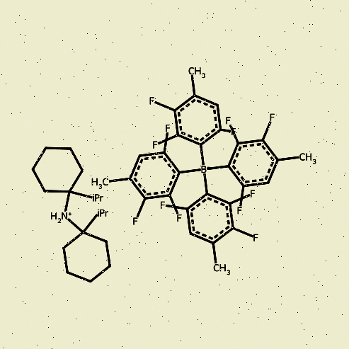 CC(C)C1([NH2+]C2(C(C)C)CCCCC2)CCCCC1.Cc1cc(F)c([B-](c2c(F)cc(C)c(F)c2F)(c2c(F)cc(C)c(F)c2F)c2c(F)cc(C)c(F)c2F)c(F)c1F